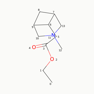 CCOC(=O)CC1C2CC1CN(C)C2